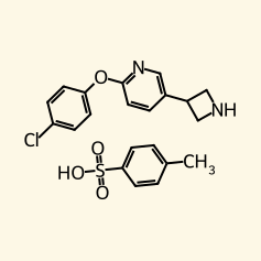 Cc1ccc(S(=O)(=O)O)cc1.Clc1ccc(Oc2ccc(C3CNC3)cn2)cc1